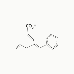 C=CCC(C=CC(=O)O)=Cc1ccccc1